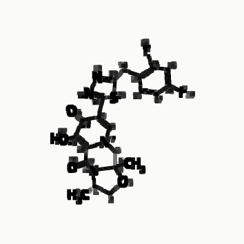 C[C@H]1COC2(C)Cn3cc(-c4nnc(Cc5ccc(F)cc5F)s4)c(=O)c(O)c3C(=O)N12